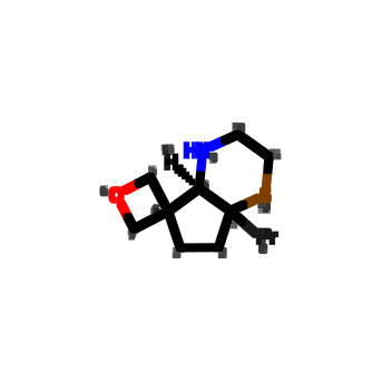 CC(C)C12CCC3(COC3)[C@H]1NCCS2